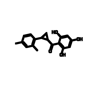 Cc1ccc(C2CC2C(=O)c2c(O)cc(O)cc2O)c(C)c1